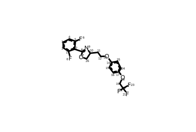 Fc1cccc(F)c1C1=NC(CCOc2ccc(OCC(F)(F)F)cc2)CO1